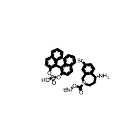 CC(C)(C)OC(=O)N1CC[C@@H](N)c2ccc(Br)cc2C1.O=P1(O)Oc2ccc3ccccc3c2-c2c(ccc3ccccc23)O1